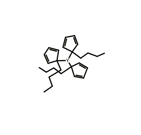 CCCC[C]1([Y]([C]2(CCCC)C=CC=C2)[C]2(CCCC)C=CC=C2)C=CC=C1